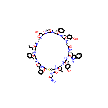 CCCC[C@H]1C(=O)N(C)CC(=O)N[C@@H](CC(=O)O)C(=O)N[C@@H](C(C)C)C(=O)N(C)[C@@H](Cc2ccccc2)C(=O)N[C@@H](Cc2ccc(O)cc2)C(=O)N(C)CC(=O)N[C@@H](Cc2c[nH]c3ccccc23)C(=O)N[C@@H](Cc2ccc(O)cc2)C(=O)N[C@@H](CC(C)C)C(=O)N[C@H](C(=O)NCC(N)=O)CSCC(=O)NC(C(C)c2ccccc2)C(=O)N(C)[C@@H](Cc2ccccc2)C(=O)N1C